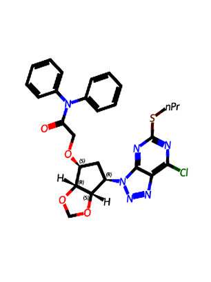 CCCSc1nc(Cl)c2nnn([C@@H]3C[C@H](OCC(=O)N(c4ccccc4)c4ccccc4)[C@H]4OCO[C@H]43)c2n1